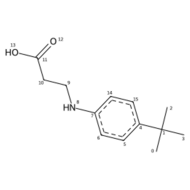 CC(C)(C)c1ccc(NCCC(=O)O)cc1